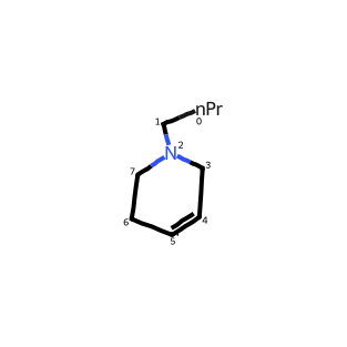 CCCCN1CC=[C]CC1